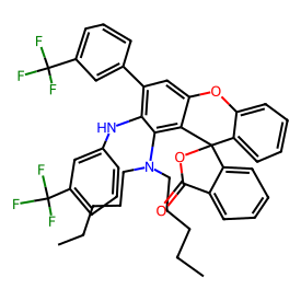 CCCCCN(CCCCC)c1c(Nc2cccc(C(F)(F)F)c2)c(-c2cccc(C(F)(F)F)c2)cc2c1C1(OC(=O)c3ccccc31)c1ccccc1O2